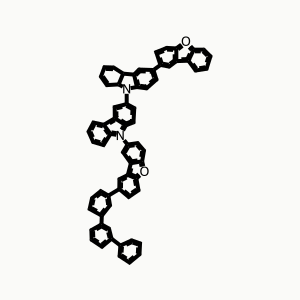 C1=CC2c3cc(-c4ccc5oc6ccccc6c5c4)ccc3N(c3ccc4c(c3)c3ccccc3n4-c3ccc4oc5ccc(-c6cccc(-c7cccc(-c8ccccc8)c7)c6)cc5c4c3)C2C=C1